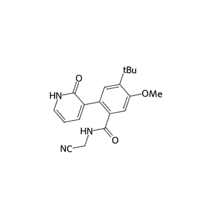 COc1cc(C(=O)NCC#N)c(-c2ccc[nH]c2=O)cc1C(C)(C)C